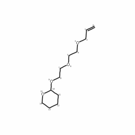 C=CCOCCOCCOC1CCCCO1